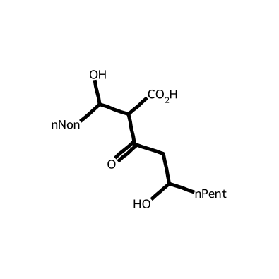 CCCCCCCCCC(O)C(C(=O)O)C(=O)CC(O)CCCCC